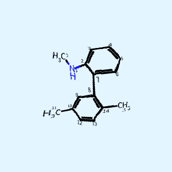 CNc1ccccc1-c1cc(C)ccc1C